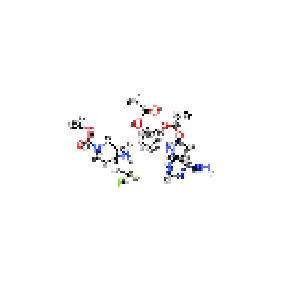 CC(C)C(=O)O[C@@H]1[C@@H](CN2CC(F)(F)CC23CCN(C(=O)OC(C)(C)C)CC3)C[C@@H](n2ccc3c(N)ncnc32)[C@@H]1OC(=O)C(C)C